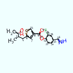 C=C(O)C(C)Cc1cc(C(=O)Oc2ccc(C=N)cc2F)cs1